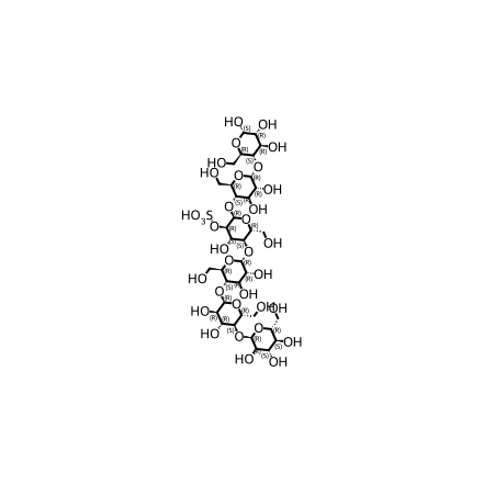 O=S(=O)(O)O[C@H]1[C@@H](O[C@H]2[C@H](O)[C@@H](O)[C@@H](O[C@H]3[C@H](O)[C@@H](O)[C@@H](O)O[C@@H]3CO)O[C@@H]2CO)O[C@H](CO)[C@@H](O[C@H]2O[C@H](CO)[C@@H](O[C@H]3O[C@H](CO)[C@@H](O[C@H]4O[C@H](CO)[C@@H](O)[C@H](O)[C@H]4O)[C@H](O)[C@H]3O)[C@H](O)[C@H]2O)[C@@H]1O